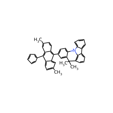 Cc1ccc2c(-c3ccc4c(c3)C(C)(C)c3cccc5c6ccccc6n-4c35)c3cc(C)ccc3c(-c3ccccc3)c2c1